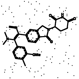 C=N/C(=C(/c1ccc(C)c(OC)c1)N(C)C)c1ccc2c(c1)CN(C1CCC(=O)NC1=O)C2=O